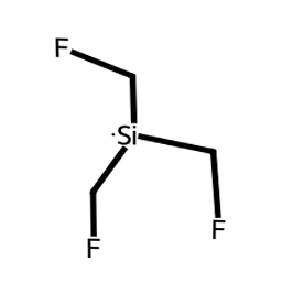 FC[Si](CF)CF